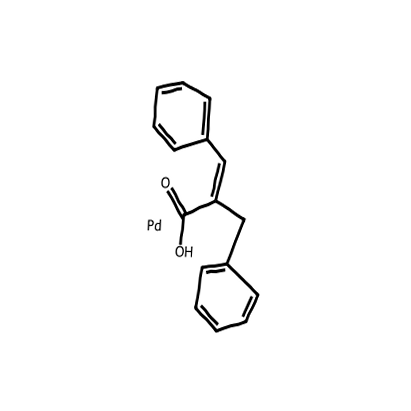 O=C(O)C(=Cc1ccccc1)Cc1ccccc1.[Pd]